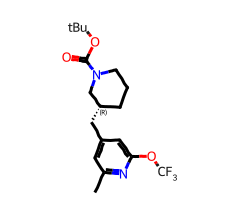 Cc1cc(C[C@H]2CCCN(C(=O)OC(C)(C)C)C2)cc(OC(F)(F)F)n1